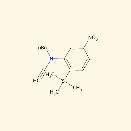 C#CN(CCCC)c1cc([N+](=O)[O-])ccc1[Si](C)(C)C